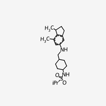 Cc1cc(NCC2CCC(NS(=O)(=O)C(C)C)CC2)cc2c1C(C)CC2